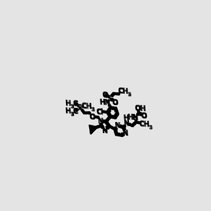 CCCS(=O)(=O)Nc1cccc(-c2c(-c3ccnc(NCC(C)NC(=O)O)n3)nc(C3CC3)n2COCC[Si](C)(C)C)c1Cl